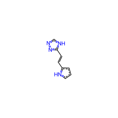 C(=C\c1nnc[nH]1)/c1ccc[nH]1